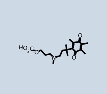 CC1=C(C)C(=O)C(C(C)(C)CCN(C)CCCOC(=O)O)=C(C)C1=O